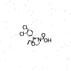 C=C[C@@H]1OCCN(C(=O)O)C[C@H]1c1ccc(Cl)c(Cl)c1